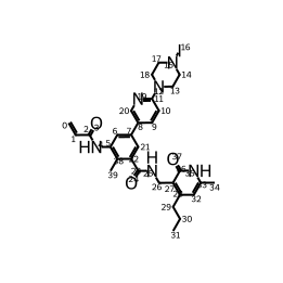 C=CC(=O)Nc1cc(-c2ccc(N3CCN(I)CC3)nc2)cc(C(=O)NCc2c(CCC)cc(C)[nH]c2=O)c1C